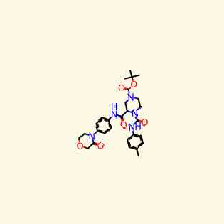 Cc1ccc(NC(=O)N2CCN(C(=O)OC(C)(C)C)CC2C(=O)Nc2ccc(N3CCOCC3=O)cc2)cc1